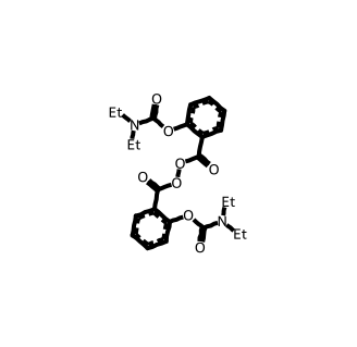 CCN(CC)C(=O)Oc1ccccc1C(=O)OOC(=O)c1ccccc1OC(=O)N(CC)CC